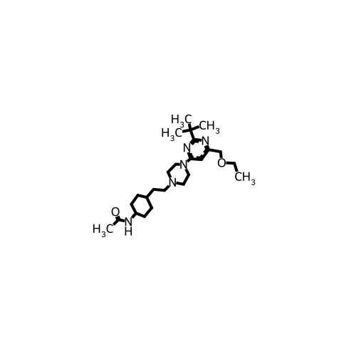 CCOCc1cc(N2CCN(CCC3CCC(NC(C)=O)CC3)CC2)nc(C(C)(C)C)n1